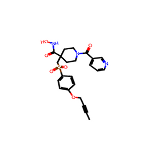 CC#CCOc1ccc(S(=O)(=O)CC2(C(=O)NO)CCN(C(=O)c3cccnc3)CC2)cc1